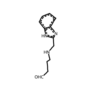 O=CCCCNCc1nc2ccccc2[nH]1